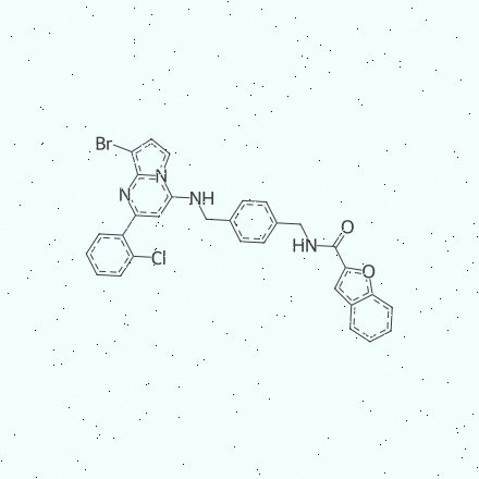 O=C(NCc1ccc(CNc2cc(-c3ccccc3Cl)nc3c(Br)ccn23)cc1)c1cc2ccccc2o1